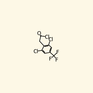 O=C(Cl)Cc1c(Cl)cc(C(F)(F)F)cc1Cl